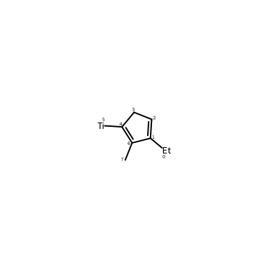 CCC1=CC[C]([Ti])=C1C